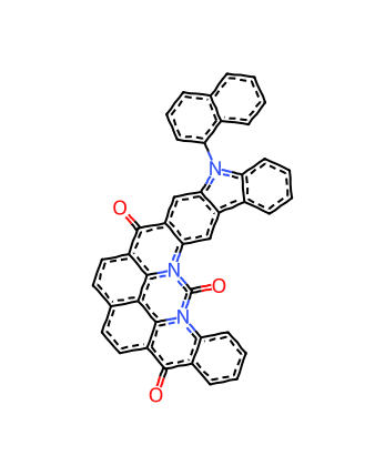 O=c1c2ccccc2n2c(=O)n3c4cc5c6ccccc6n(-c6cccc7ccccc67)c5cc4c(=O)c4ccc5ccc1c2c5c43